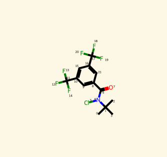 CC(C)(C)N(Cl)C(=O)c1cc(C(F)(F)F)cc(C(F)(F)F)c1